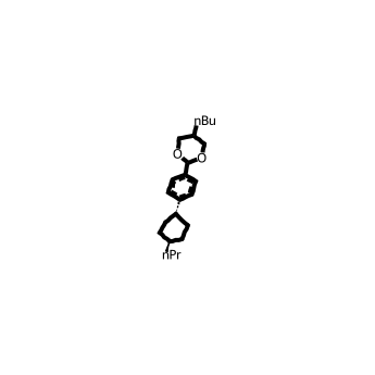 CCCCC1COC(c2ccc([C@H]3CC[C@H](CCC)CC3)cc2)OC1